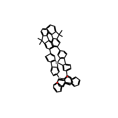 CC1(C)c2ccccc2-c2ccc(-c3ccc4c(c3)[Si]3(c5cc(-c6ccc7c(c6)C(C)(C)c6ccccc6-7)ccc5-c5ccc(-n6c7ccccc7c7ccccc76)cc53)c3cc(-n5c6ccccc6c6ccccc65)ccc3-4)cc21